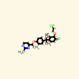 Cc1nccc(C(C)Oc2ccc(C(C)(C)c3ccc(Cl)c(OCCCl)c3C#N)cc2)n1